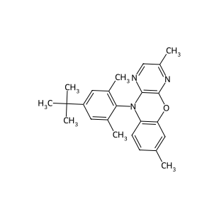 Cc1ccc2c(c1)Oc1nc(C)cnc1N2c1c(C)cc(C(C)(C)C)cc1C